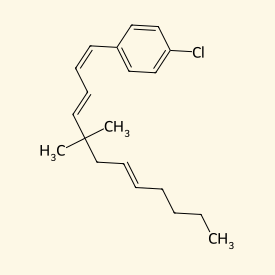 CCCC/C=C/CC(C)(C)/C=C/C=C\c1ccc(Cl)cc1